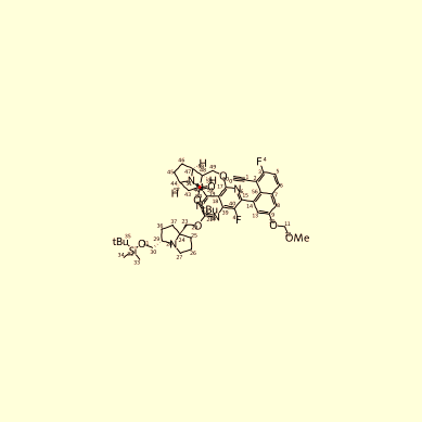 C#Cc1c(F)ccc2cc(OCOC)cc(-c3nc4c5c(nc(OC[C@@]67CCCN6[C@H](CO[Si](C)(C)C(C)(C)C)CC7)nc5c3F)N3C[C@H]5CC[C@@H]([C@H]3CO4)N5C(=O)OC(C)(C)C)c12